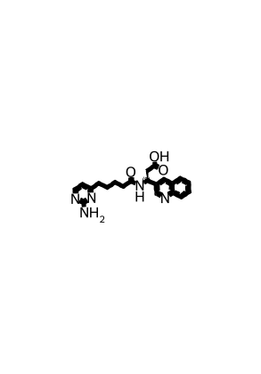 Nc1nccc(CCCCC(=O)N[C@@H](CC(=O)O)c2cnc3ccccc3c2)n1